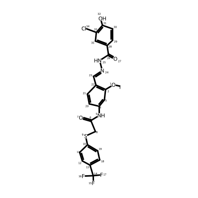 COc1cc(NC(=O)CSc2ccc(C(F)(F)F)cc2)ccc1C=NNC(=O)c1ccc(O)c(Cl)c1